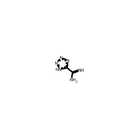 N=C(N)c1nnn[nH]1